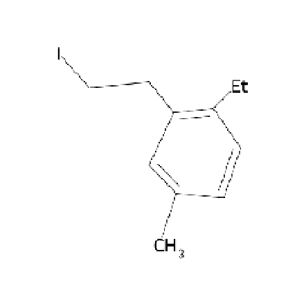 CCc1ccc(C)cc1CCI